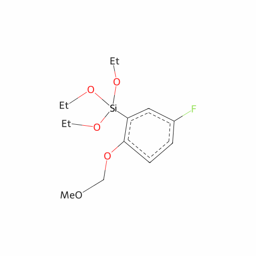 CCO[Si](OCC)(OCC)c1cc(F)ccc1OCOC